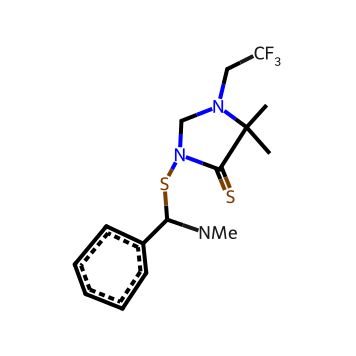 CNC(SN1CN(CC(F)(F)F)C(C)(C)C1=S)c1ccccc1